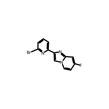 Fc1ccn2cc(-c3cccc(Br)n3)nc2c1